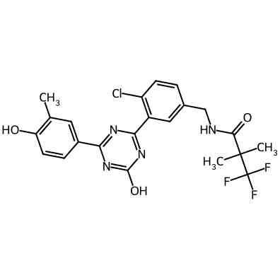 Cc1cc(-c2nc(O)nc(-c3cc(CNC(=O)C(C)(C)C(F)(F)F)ccc3Cl)n2)ccc1O